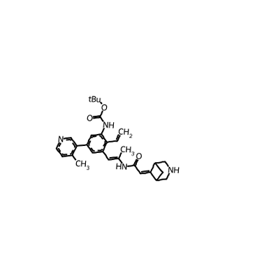 C=Cc1c(/C=C(\C)NC(=O)C=C2C3CNCC2C3)cc(-c2cnccc2C)cc1NC(=O)OC(C)(C)C